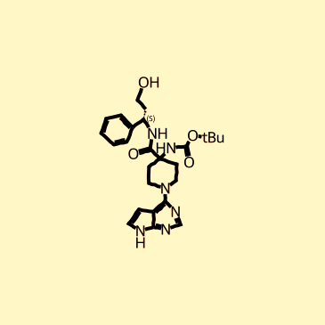 CC(C)(C)OC(=O)NC1(C(=O)N[C@@H](CCO)c2ccccc2)CCN(c2ncnc3[nH]ccc23)CC1